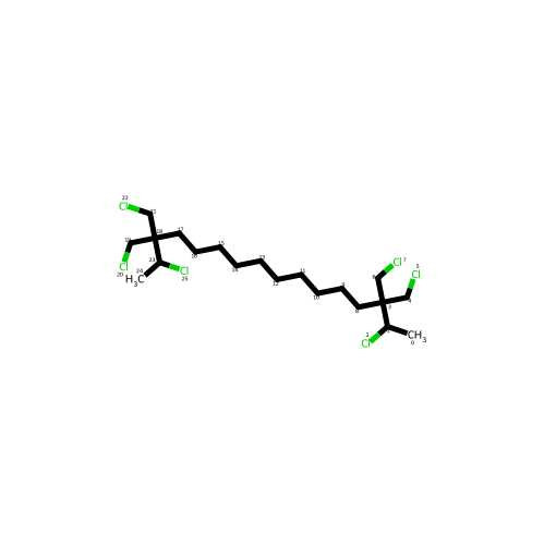 CC(Cl)C(CCl)(CCl)CCCCCCCCCCC(CCl)(CCl)C(C)Cl